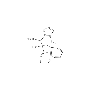 CCCCCCCC(c1nccn1C)C(C)(Cc1ccccc1)c1ccccc1